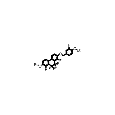 CCOc1ccc(COc2ccc3c(c2F)C(F)(F)C(F)(F)c2c-3ccc(OCC)c2F)cc1F